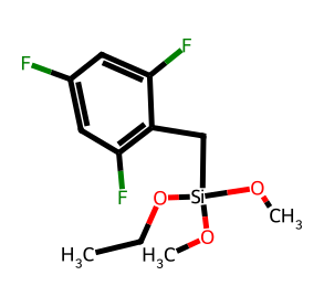 CCO[Si](Cc1c(F)cc(F)cc1F)(OC)OC